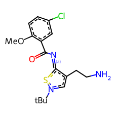 COc1ccc(Cl)cc1C(=O)/N=c1\sn(C(C)(C)C)cc1CCN